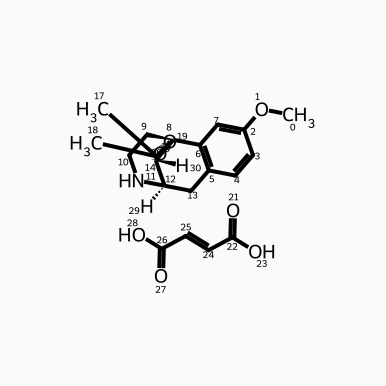 COc1ccc2c(c1)[C@]13CCN[C@H](C2)[C@@H]1OC(C)(C)OC3.O=C(O)/C=C/C(=O)O